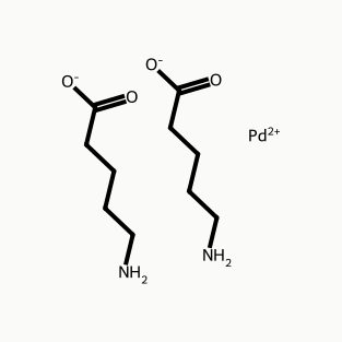 NCCCCC(=O)[O-].NCCCCC(=O)[O-].[Pd+2]